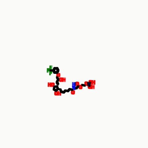 O=C(CCC/C=C\C[C@@H]1[C@@H](/C=C/[C@@H](O)COc2cccc(C(F)(F)F)c2)[C@H](O)C[C@@H]1O)NCC(=O)OCCON(O)O